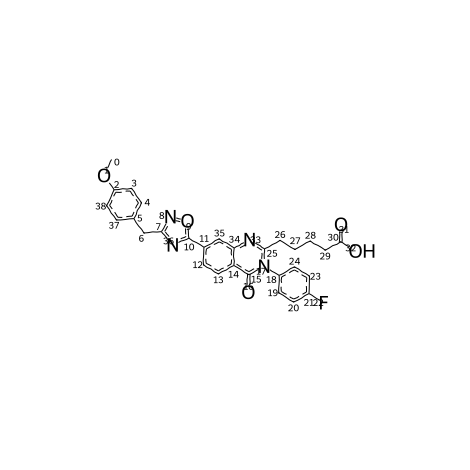 COc1ccc(Cc2noc(-c3ccc4c(=O)n(-c5ccc(F)cc5)c(CCCCC(=O)O)nc4c3)n2)cc1